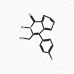 CC(C)n1c(CO)c(-c2ccc(F)cc2)c2ccccc2c1=O